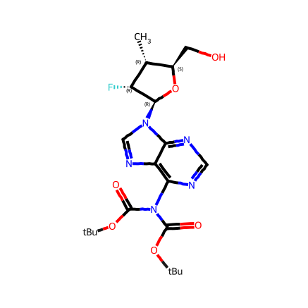 C[C@H]1[C@@H](F)[C@H](n2cnc3c(N(C(=O)OC(C)(C)C)C(=O)OC(C)(C)C)ncnc32)O[C@@H]1CO